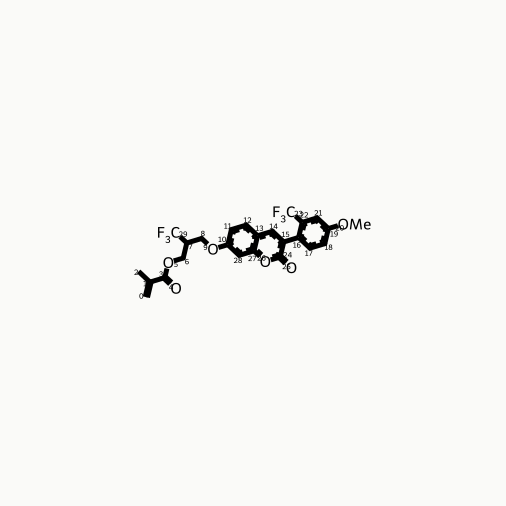 C=C(C)C(=O)OCC(COc1ccc2cc(-c3ccc(OC)cc3C(F)(F)F)c(=O)oc2c1)C(F)(F)F